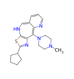 CN1CCN(C2=c3ncccc3=CNc3sc(C4CCCC4)nc32)CC1